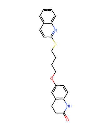 O=C1CCc2cc(OCCCCSc3ccc4ccccc4n3)ccc2N1